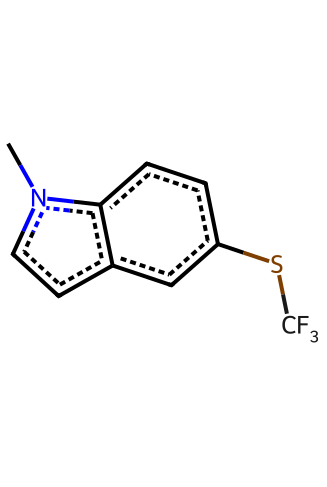 Cn1ccc2cc(SC(F)(F)F)ccc21